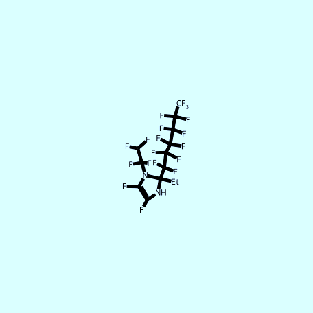 CCC1(C(F)(F)C(F)(F)C(F)(F)C(F)(F)C(F)(F)C(F)(F)F)NC(F)=C(F)N1C(F)(F)C(F)F